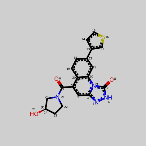 O=C(c1cc2n[nH]c(=O)n2c2cc(-c3ccsc3)ccc12)N1CC[C@@H](O)C1